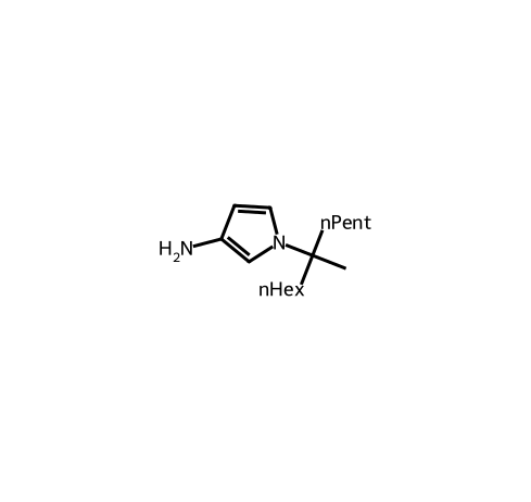 CCCCCCC(C)(CCCCC)n1ccc(N)c1